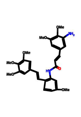 COc1ccc(/C=C/c2cc(OC)c(OC)c(OC)c2)c(NC(=O)/C=C/c2cc(N)c(OC)c(OC)c2)c1